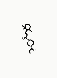 CCC(=O)N1CCCN(C(=O)C=CC2=C(C)CCCC2(C)C)CC1